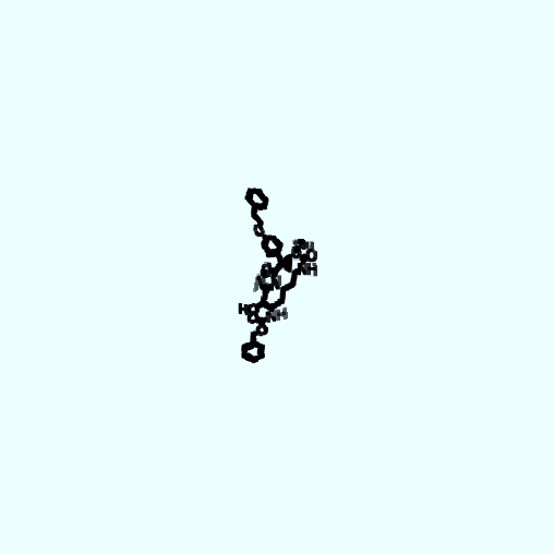 CC(C)(C)OC(=O)NCCCCC(NC(=O)OCc1ccccc1)C(O)c1noc(C2(c3ccc(OCCc4ccccc4)cc3)CC2)n1